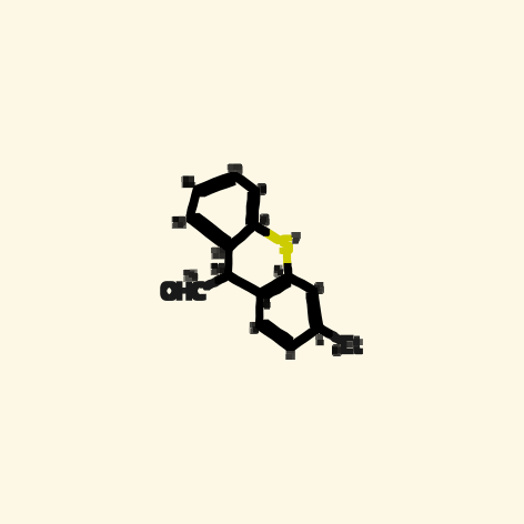 CCc1ccc2c(c1)Sc1ccccc1C2C=O